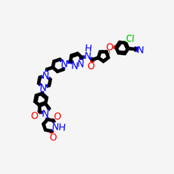 N#Cc1ccc(O[C@@H]2CCC(C(=O)Nc3ccc(N4CCC(CN5CCN(c6ccc7c(c6)CN(C6CCC(=O)NC6=O)C7=O)CC5)CC4)nn3)C2)cc1Cl